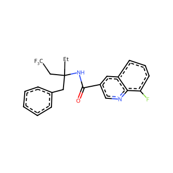 CCC(Cc1ccccc1)(CC(F)(F)F)NC(=O)c1cnc2c(F)cccc2c1